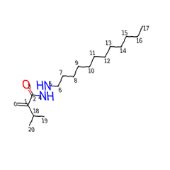 C=C(C(=O)NNCCCCCCCCCCCC)C(C)C